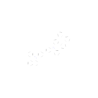 c1ccc(N(c2ccc(-c3ccc4c(c3)c3ccccc3n4-c3ccc4c(c3)C(c3ccccc3)(c3ccccc3)c3ccccc3-4)cc2)c2cccc3ccccc23)cc1